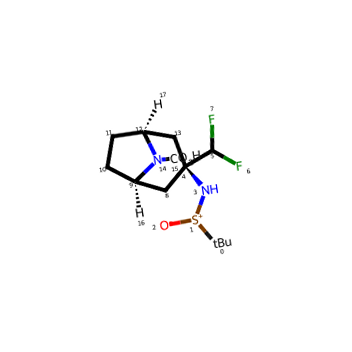 CC(C)(C)[S+]([O-])N[C@@]1(C(F)F)C[C@H]2CC[C@@H](C1)N2C(=O)O